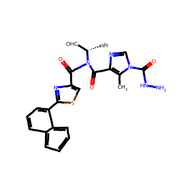 CCC[C@@H]([C]=O)N(C(=O)c1csc(-c2cccc3ccccc23)n1)C(=O)c1ncn(C(=O)NN)c1C